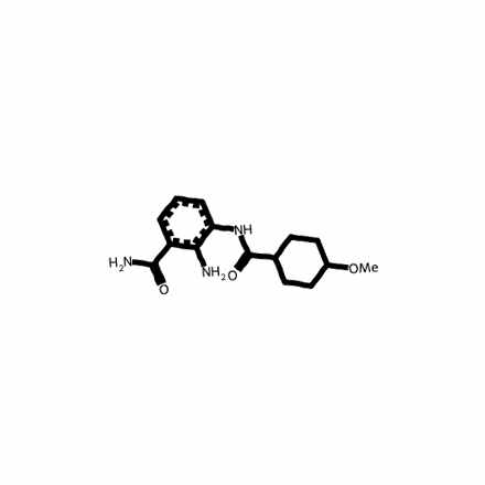 COC1CCC(C(=O)Nc2cccc(C(N)=O)c2N)CC1